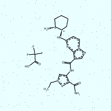 CCn1cc(NC(=O)c2cnn3ccc(N[C@@H]4CCCC[C@@H]4N)nc23)c(C(N)=O)n1.O=C(O)C(F)(F)F